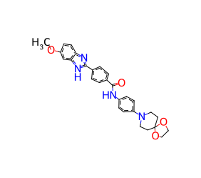 COc1ccc2nc(-c3ccc(C(=O)Nc4ccc(N5CCC6(CC5)OCCO6)cc4)cc3)[nH]c2c1